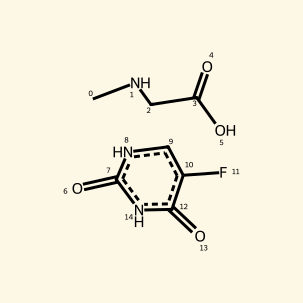 CNCC(=O)O.O=c1[nH]cc(F)c(=O)[nH]1